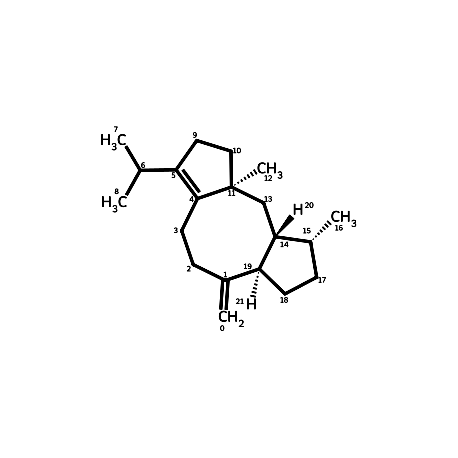 C=C1CCC2=C(C(C)C)CC[C@@]2(C)C[C@@H]2[C@H](C)CC[C@@H]12